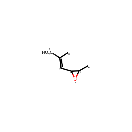 CC(=CC1OC1C)C(=O)O